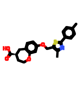 Cc1ccc(-c2nc(C)c(COc3ccc4c(c3)OCC[C@H](C(=O)O)C4)s2)cc1